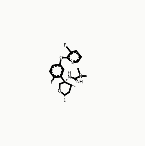 C[C@@H]1C[C@H](C)OC[C@@]1(NC(=N)N(C)C)c1cc(Oc2ncccc2F)ccc1F